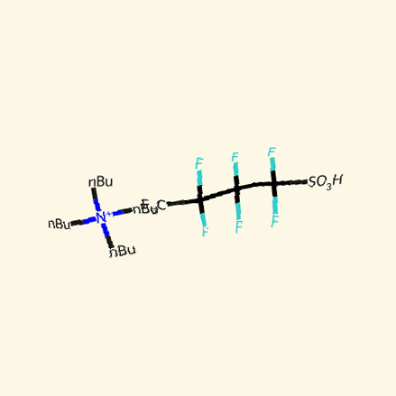 CCCC[N+](CCCC)(CCCC)CCCC.O=S(=O)(O)C(F)(F)C(F)(F)C(F)(F)C(F)(F)F